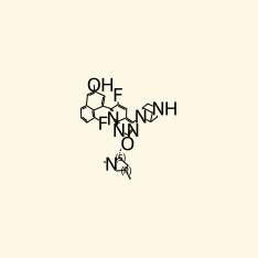 C[C@@H]1C[C@@H](COc2nc(N3C4CNCC3C4)c3cc(F)c(-c4cc(O)cc5cccc(F)c45)nc3n2)N(C)C1